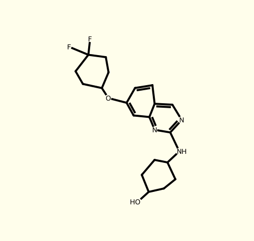 OC1CCC(Nc2ncc3ccc(OC4CCC(F)(F)CC4)cc3n2)CC1